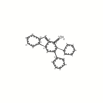 C=c1c(-c2ccccc2)c(-c2ccccc2)cc2c1=Cc1ccccc1-2